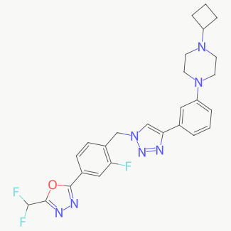 Fc1cc(-c2nnc(C(F)F)o2)ccc1Cn1cc(-c2cccc(N3CCN(C4CCC4)CC3)c2)nn1